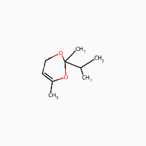 CC1=CCOC(C)(C(C)C)O1